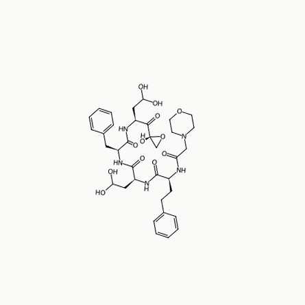 O=C(CN1CCOCC1)N[C@@H](CCc1ccccc1)C(=O)N[C@@H](CC(O)O)C(=O)N[C@@H](Cc1ccccc1)C(=O)N[C@@H](CC(O)O)C(=O)[C@@]1(O)CO1